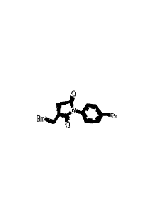 O=C1CC(CBr)C(=O)N1c1ccc(Br)cc1